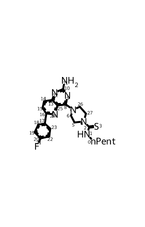 CCCCCNC(=S)N1CCN(c2nc(N)nc3ccc(-c4ccc(F)cc4)nc23)CC1